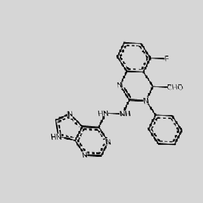 O=CC1c2c(F)cccc2N=C(NNc2ncnc3[nH]cnc23)N1c1ccccc1